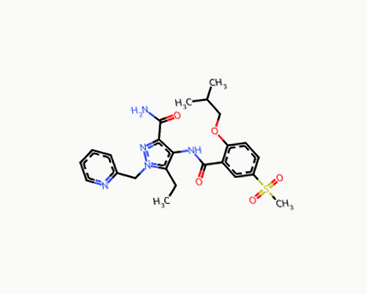 CCc1c(NC(=O)c2cc(S(C)(=O)=O)ccc2OCC(C)C)c(C(N)=O)nn1Cc1ccccn1